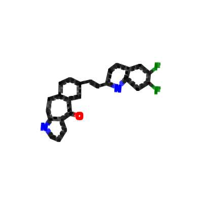 O=c1c2cc(C=Cc3ccc4cc(F)c(F)cc4n3)ccc2ccc2ncccc12